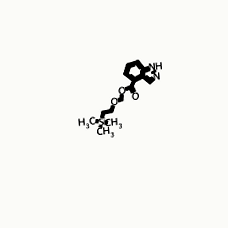 C[Si](C)(C)CCOCOC(=O)c1cccc2[nH]ncc12